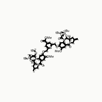 C=C1C[C@H]2C(O[Si](C)(C)C(C)(C)C)N(C(=O)OC(C)(C)C)c3cc(OCc4cc(C(=O)OC)cc(COc5cc6c(cc5OC)C(=O)N5CC(C)C[C@H]5C(O[Si](C)(C)C(C)(C)C)N6C(=O)OC(C)(C)C)n4)c(OC)cc3C(=O)N2C1